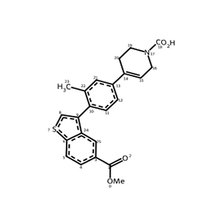 COC(=O)c1ccc2scc(-c3ccc(C4=CCN(C(=O)O)CC4)cc3C)c2c1